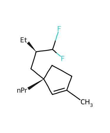 CCC[C@]1(C[C@@H](CC)C(F)F)C=C(C)CC1